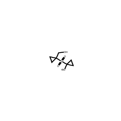 CC(C)(C)C1(S(=O)(=O)C2(CO)CC2)CC1